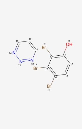 Oc1ccc(Br)c(Br)c1Br.c1cnnnc1